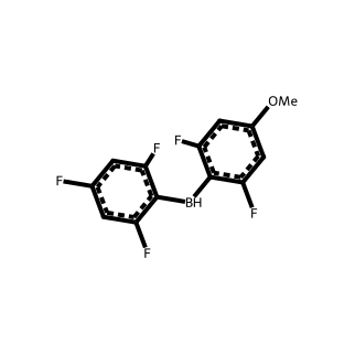 COc1cc(F)c(Bc2c(F)cc(F)cc2F)c(F)c1